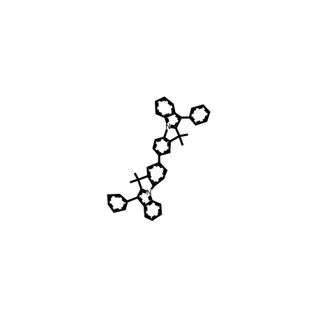 CC1(C)c2cc(-c3ccc4c(c3)C(C)(C)c3c(-c5ccccc5)c5ccccc5n3-4)ccc2-n2c1c(-c1ccccc1)c1ccccc12